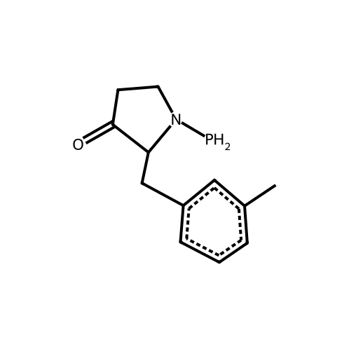 Cc1cccc(CC2C(=O)CCN2P)c1